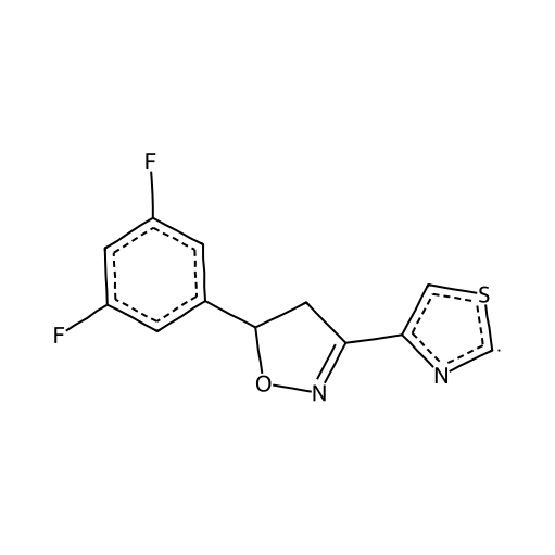 Fc1cc(F)cc(C2CC(c3cs[c]n3)=NO2)c1